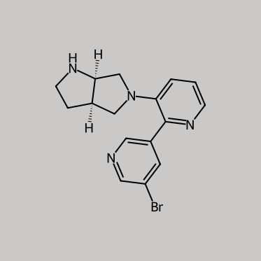 Brc1cncc(-c2ncccc2N2C[C@H]3CCN[C@H]3C2)c1